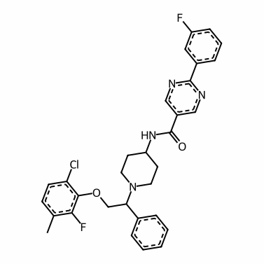 Cc1ccc(Cl)c(OCC(c2ccccc2)N2CCC(NC(=O)c3cnc(-c4cccc(F)c4)nc3)CC2)c1F